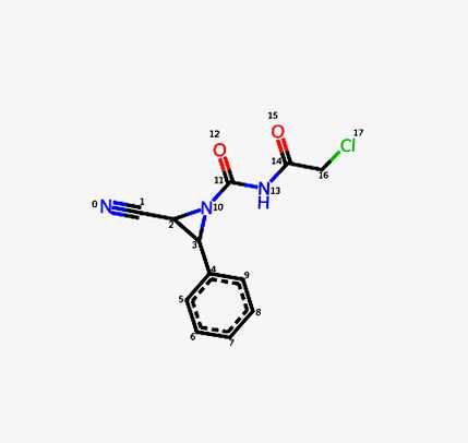 N#CC1C(c2ccccc2)N1C(=O)NC(=O)CCl